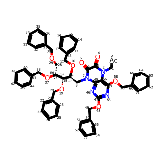 CC(=O)Cn1c(=O)c(=O)n(C[C@H](OCc2ccccc2)[C@H](OCc2ccccc2)[C@@H](COCc2ccccc2)OCc2ccccc2)c2nc(OCc3ccccc3)nc(OCc3ccccc3)c21